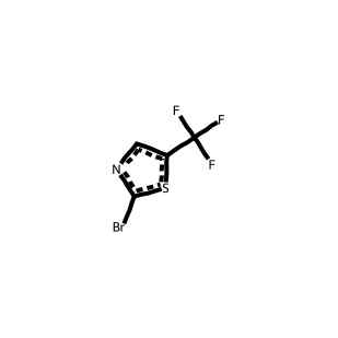 FC(F)(F)c1cnc(Br)s1